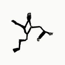 C=CCSC1C(CC)C(=O)N1CC(=O)O